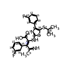 CC(=N)/C(=C(\Nc1nc(-c2cccc(F)c2)c(SC(C)C)s1)C(=O)O)c1cccc(F)c1